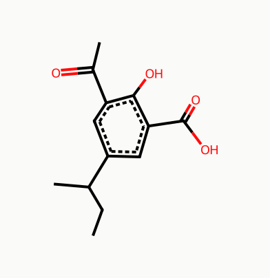 CCC(C)c1cc(C(C)=O)c(O)c(C(=O)O)c1